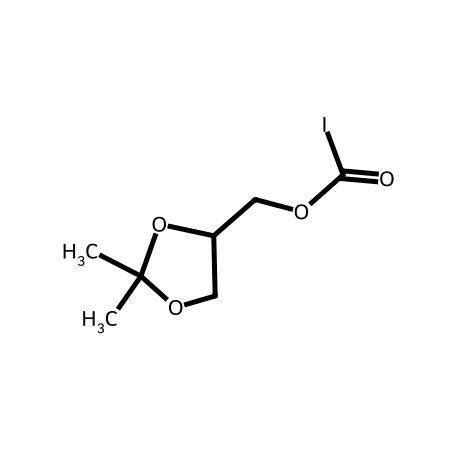 CC1(C)OCC(COC(=O)I)O1